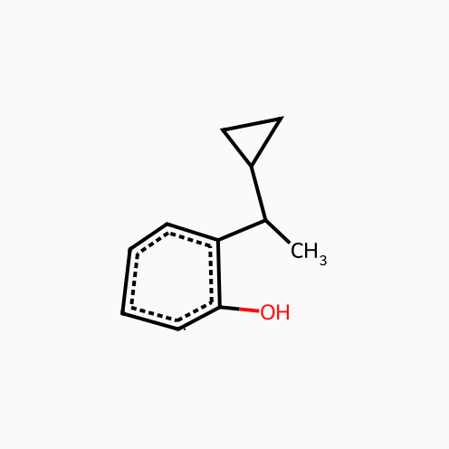 CC(c1ccc[c]c1O)C1CC1